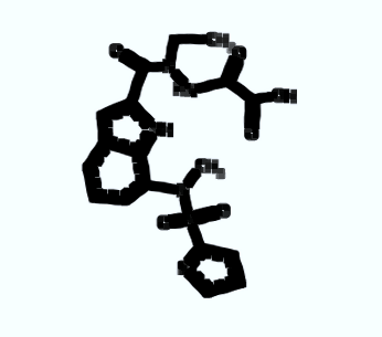 CCN(NC(=O)C(=O)O)C(=O)c1cc2cccc(N(C)S(=O)(=O)c3cccs3)c2[nH]1